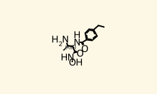 CCc1ccc(C(=O)N[C@H](C(=O)NO)[C@@H](C)N)cc1